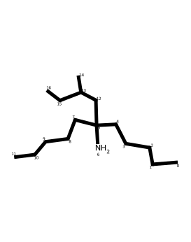 CCCCCC(N)(CCCCC)CC(C)CC